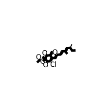 CC[C@H](C)/C=C(C)/C=C/C1=CC2=C(Cl)C(=O)C(C)(OC(C)=O)C(=O)C2=CO1